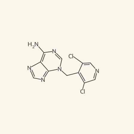 Nc1ncn(Cc2c(Cl)cncc2Cl)c2ncnc1-2